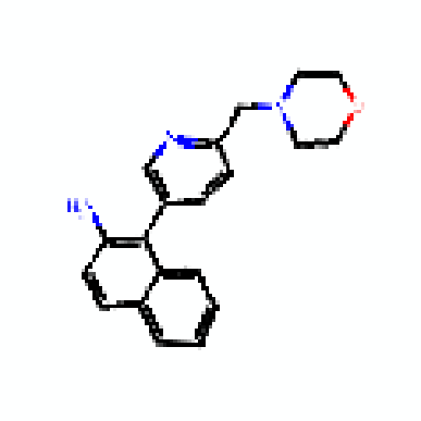 Nc1ccc2ccccc2c1-c1ccc(CN2CCOCC2)nc1